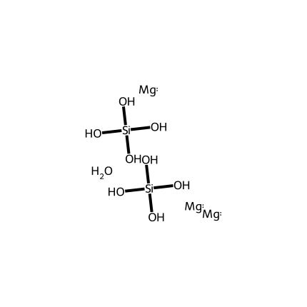 O.O[Si](O)(O)O.O[Si](O)(O)O.[Mg].[Mg].[Mg]